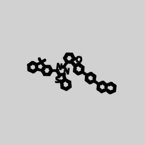 CC1(C)c2ccccc2-c2ccc(-c3nc(-c4cccc5oc6cc(-c7ccc(-c8ccc9ccccc9c8)cc7)ccc6c45)nc4c3sc3ccccc34)cc21